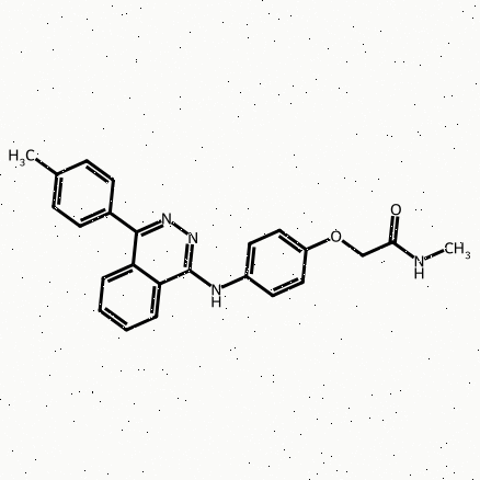 CNC(=O)COc1ccc(Nc2nnc(-c3ccc(C)cc3)c3ccccc23)cc1